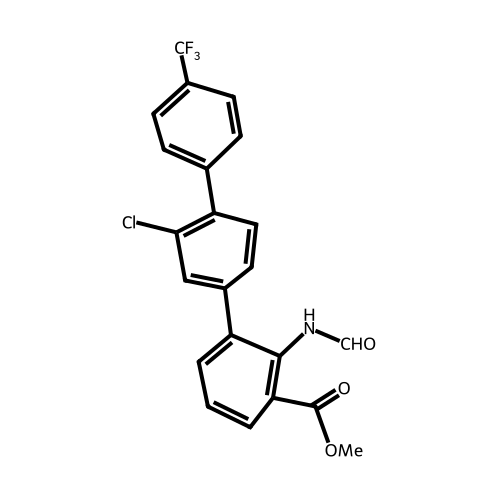 COC(=O)c1cccc(-c2ccc(-c3ccc(C(F)(F)F)cc3)c(Cl)c2)c1NC=O